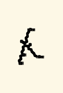 CCCCCCCCCCCCCCCC(=O)N(CCCNCCCO)C(=O)CCCCCCCCCCCCCCC